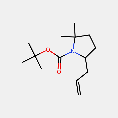 C=CCC1CCC(C)(C)N1C(=O)OC(C)(C)C